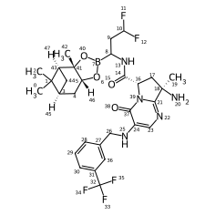 CC1(C)[C@@H]2C[C@H]3OB(C(CC(F)F)NC(=O)[C@@H]4C[C@@](C)(N)c5ncc(NCc6cccc(C(F)(F)F)c6)c(=O)n54)O[C@@]3(C)[C@H]1C2